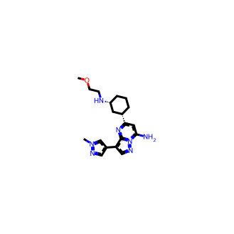 COCCN[C@@H]1CCC[C@H](c2cc(N)n3ncc(-c4cnn(C)c4)c3n2)C1